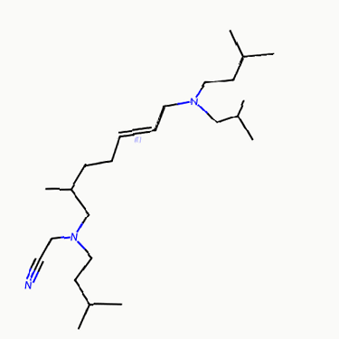 CC(C)CCN(C/C=C/CCC(C)CN(CC#N)CCC(C)C)CC(C)C